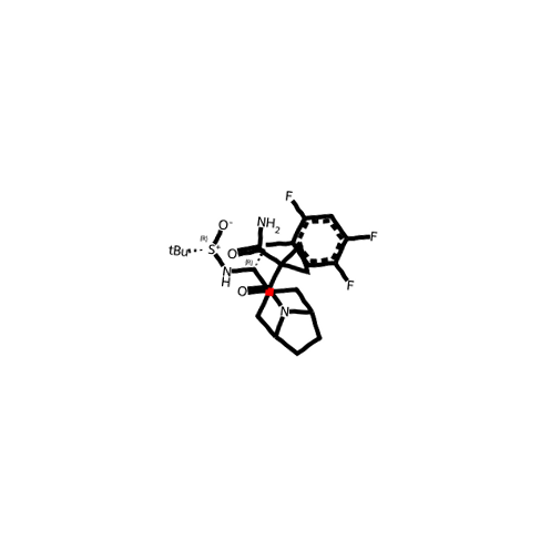 CC(C)(C)[S@+]([O-])N[C@H](Cc1cc(F)c(F)cc1F)C1CC2CCC(C1)N2C(=O)C1(C(N)=O)CC1